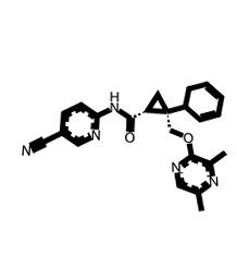 Cc1cnc(OC[C@@]2(C3C=CC=CC3)C[C@H]2C(=O)Nc2ccc(C#N)cn2)c(C)n1